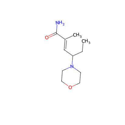 CCC(C=C(C)C(N)=O)N1CCOCC1